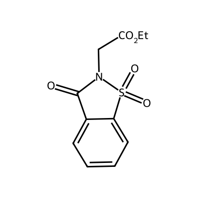 CCOC(=O)CN1C(=O)c2ccccc2S1(=O)=O